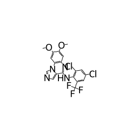 COc1cc2nc(Nc3c(Cl)cc(Cl)cc3C(F)(F)F)c3cncn3c2cc1OC